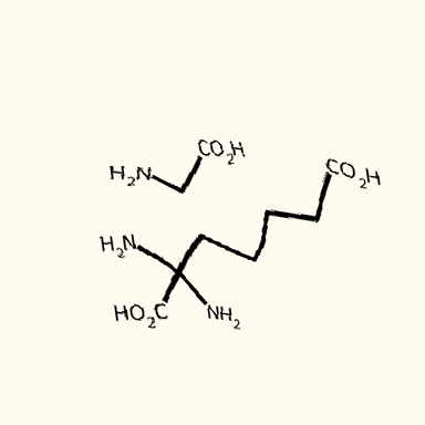 NC(N)(CCCCC(=O)O)C(=O)O.NCC(=O)O